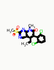 C=Cc1c(-c2c(Cl)cccc2Cl)c(=O)n(C)c2nc(S(C)(=O)=O)ncc12